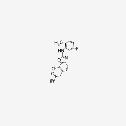 Cc1ccc(F)cc1Nc1nc2ccc(CC(=O)C(C)C)c(Cl)c2o1